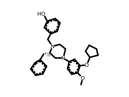 COc1ccc(N2CCN(Cc3cccc(O)c3)[C@@H](Cc3ccccc3)C2)cc1OC1CCCC1